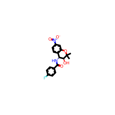 CC1(C)Oc2cc([N+](=O)[O-])ccc2[C@@H](NC(=O)c2ccc(F)cc2)[C@@H]1O